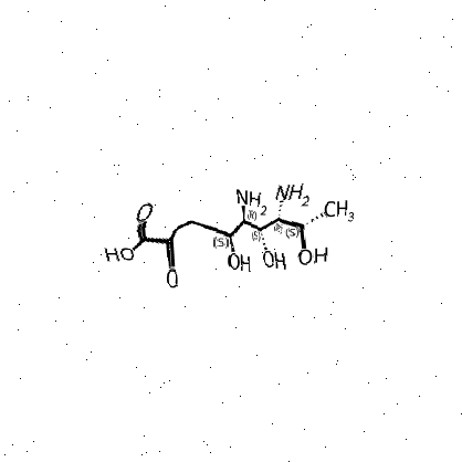 C[C@H](O)[C@@H](N)[C@H](O)[C@H](N)[C@@H](O)CC(=O)C(=O)O